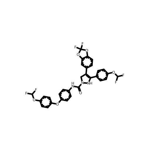 O=C(Nc1ccc(Oc2ccc(OC(F)F)cc2)cc1)N1CC(c2ccc3c(c2)OC(F)(F)O3)=C(c2ccc(OC(F)F)cc2)N1